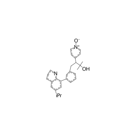 CC(C)c1cc(-c2cccc(CC(c3cc[n+]([O-])cc3)C(C)(C)O)c2)c2ncccc2c1